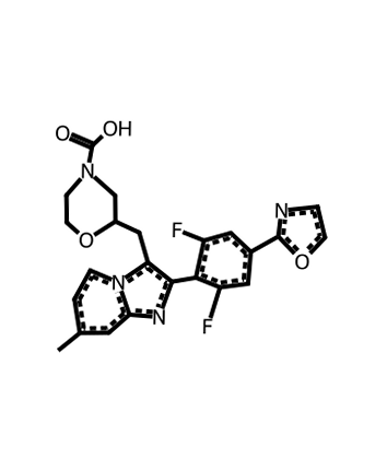 Cc1ccn2c(CC3CN(C(=O)O)CCO3)c(-c3c(F)cc(-c4ncco4)cc3F)nc2c1